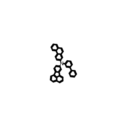 c1ccc(-c2cccc(N(c3ccc4c(c3)-c3cccc5cccc-4c35)c3ccc4c(ccc5ccccc54)c3)c2)cc1